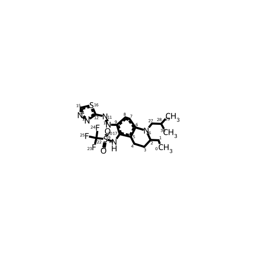 CCC1CCc2c(ccc(N=Nc3nncs3)c2NS(=O)(=O)C(F)(F)F)N1CC(C)C